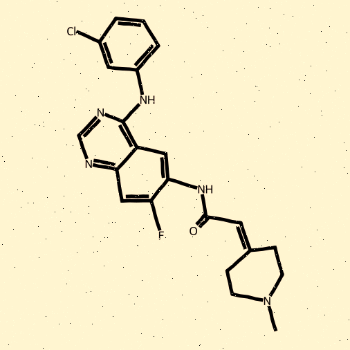 CN1CCC(=CC(=O)Nc2cc3c(Nc4cccc(Cl)c4)ncnc3cc2F)CC1